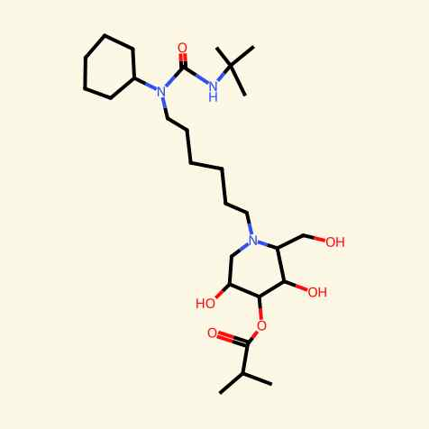 CC(C)C(=O)OC1C(O)CN(CCCCCCN(C(=O)NC(C)(C)C)C2CCCCC2)C(CO)C1O